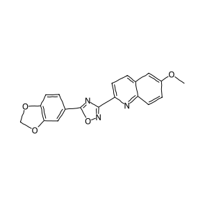 COc1ccc2nc(-c3noc(-c4ccc5c(c4)OCO5)n3)ccc2c1